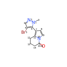 Cn1ncc(Br)c1-c1ccn2c1CCCC2=O